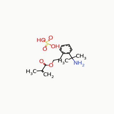 C=C(C)C(=O)OCCc1ccccc1C(C)(C)N.O=S(=O)(O)O